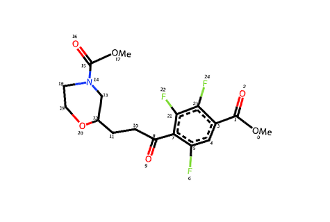 COC(=O)c1cc(F)c(C(=O)CCC2CN(C(=O)OC)CCO2)c(F)c1F